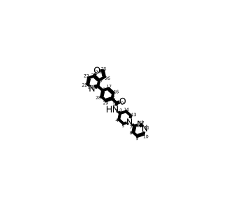 O=C(NC1CCN(c2cccnn2)CC1)c1ccc(-c2nccc3occc23)cc1